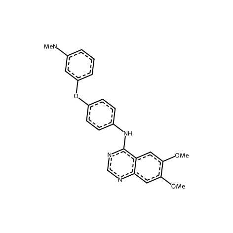 CNc1cccc(Oc2ccc(Nc3ncnc4cc(OC)c(OC)cc34)cc2)c1